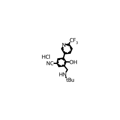 CC(C)(C)NCc1cc(C#N)cc(-c2ccc(C(F)(F)F)nc2)c1O.Cl